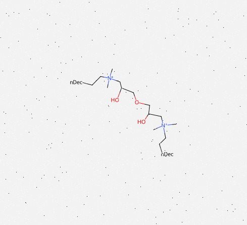 CCCCCCCCCCCC[N+](C)(C)CC(O)COCC(O)C[N+](C)(C)CCCCCCCCCCCC